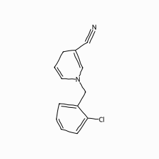 N#CC1=CN(Cc2ccccc2Cl)C=CC1